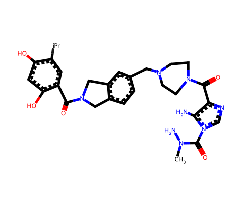 CC(C)c1cc(C(=O)N2Cc3ccc(CN4CCN(C(=O)c5ncn(C(=O)N(C)N)c5N)CC4)cc3C2)c(O)cc1O